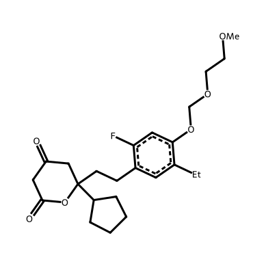 CCc1cc(CCC2(C3CCCC3)CC(=O)CC(=O)O2)c(F)cc1OCOCCOC